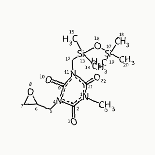 Cn1c(=O)n(CC2CO2)c(=O)n(C[Si](C)(C)O[Si](C)(C)C)c1=O